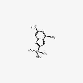 CCC[CH2][Sn]([CH2]CCC)([CH2]CCC)[c]1cc2c(C)nc(C)cn2c1